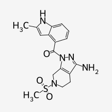 Cc1cc2c(C(=O)n3nc(N)c4c3CN(S(C)(=O)=O)CC4)cccc2[nH]1